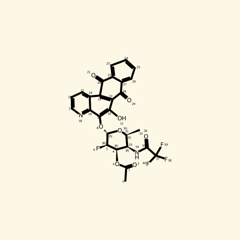 CC(=O)O[C@H]1[C@@H](F)[C@H](Oc2c(O)c3c(c4cccnc24)C(=O)c2ccccc2C3=O)O[C@@H](C)[C@H]1NC(=O)C(F)(F)F